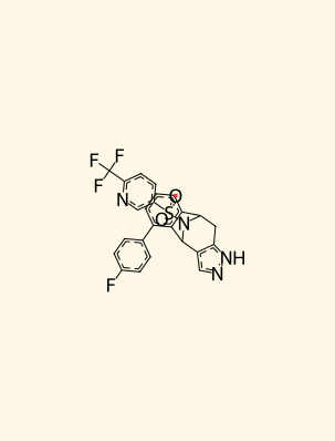 O=S(=O)(c1ccc(C(F)(F)F)nc1)N1C2Cc3[nH]ncc3C1c1c(-c3ccc(F)cc3)cccc12